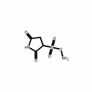 NOS(=O)(=O)C1CC(=O)NC1=O